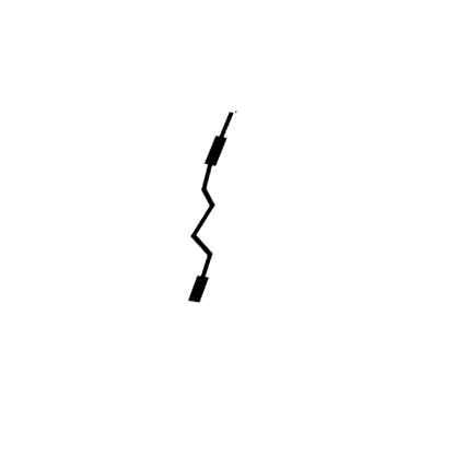 C#CCCCCC#C[CH2]